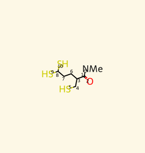 CNC(=O)C(CS)CCC(S)S